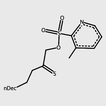 CCCCCCCCCCCCC(=S)COS(=O)(=O)c1ncccc1C